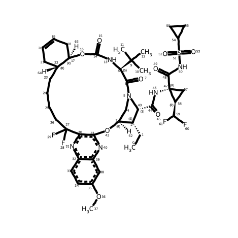 CC[C@@H]1[C@@H]2CN(C(=O)[C@H](C(C)(C)C)NC(=O)O[C@@H]3CC=CC[C@H]3CCCCC(F)(F)c3nc4ccc(OC)cc4nc3O2)[C@@H]1C(=O)N[C@]1(C(=O)NS(=O)(=O)C2CC2)C[C@H]1C(F)F